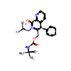 CC(C)Cn1c(COC(=O)NC(C)(C)C)c(-c2ccccc2)c2cccnc2c1=O